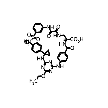 CS(=O)(=O)c1cccc(NC(=O)C(=O)NC[C@H](NC(=O)c2ccc(Nc3nc(NC4(c5ccc(Cl)cc5)CC4)nc(OCC(F)(F)F)n3)cc2)C(=O)O)c1